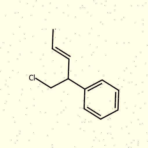 [CH2]C=CC(CCl)c1ccccc1